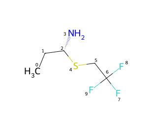 CC[C@H](N)SCC(F)(F)F